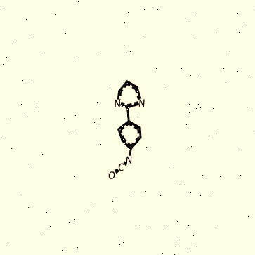 O=C=Nc1ccc(-c2ncccn2)cc1